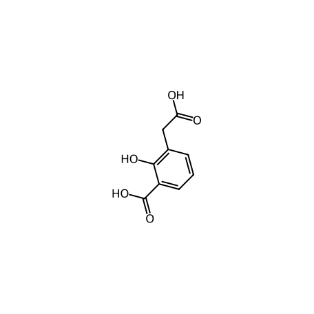 O=C(O)Cc1cccc(C(=O)O)c1O